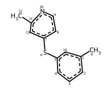 Cc1cccc(Sc2ccnc(C)c2)c1